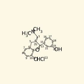 CN(C)C[C@H](Cc1cccc(Cl)c1)C(=O)c1cccc(O)c1.Cl